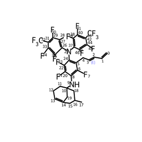 C=C/C=C/Cc1c(F)c(NC23CCC=C(CC(C)C2)C3)c(F)c(F)c1N(c1c(C)c(F)c(C(F)(F)F)c(F)c1F)c1c(F)c(F)c(C(F)(F)F)c(F)c1F